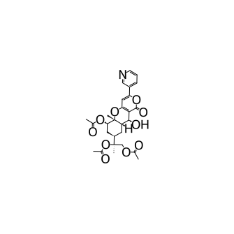 CC(=O)OC[C@@](C)(OC(C)=O)[C@H]1C[C@@H](OC(C)=O)[C@]2(C)Oc3cc(-c4cccnc4)oc(=O)c3[C@@H](O)[C@@H]2C1